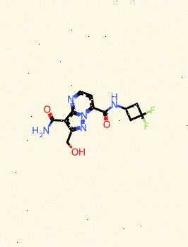 NC(=O)c1c(CO)nn2c(C(=O)NC3CC(F)(F)C3)ccnc12